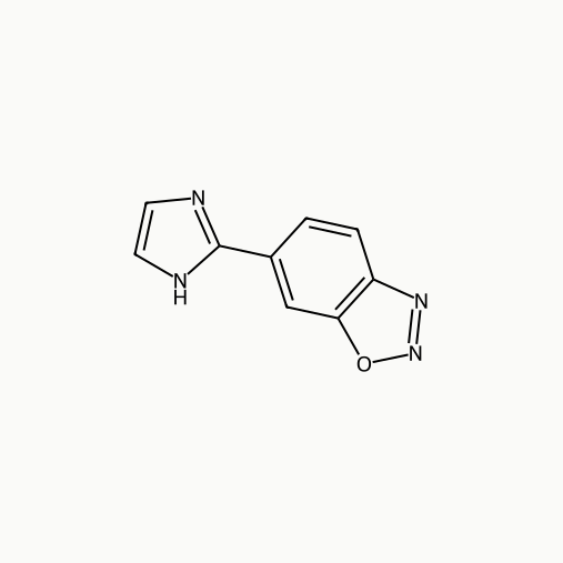 c1c[nH]c(-c2ccc3nnoc3c2)n1